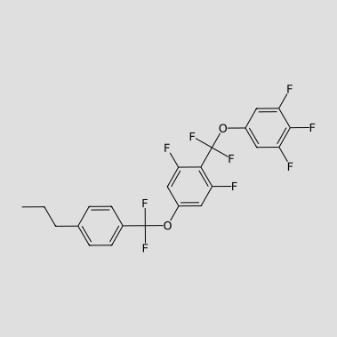 CCCc1ccc(C(F)(F)Oc2cc(F)c(C(F)(F)Oc3cc(F)c(F)c(F)c3)c(F)c2)cc1